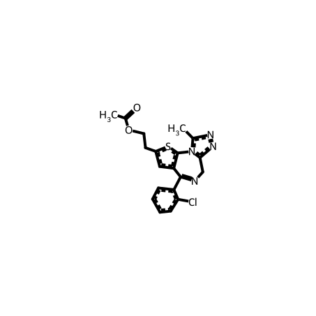 CC(=O)OCCc1cc2c(s1)-n1c(C)nnc1CN=C2c1ccccc1Cl